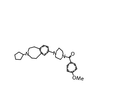 COc1ccc(C(=O)N2CCN(c3ccc4c(c3)CCN(C3CCCC3)CC4)CC2)cc1